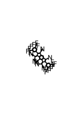 N#CC(C#N)=C1C(c2cc(C(F)(F)F)c(F)c(C(F)(F)F)c2)=C(C#N)c2cc3c(c(C#N)c21)C(=C(C#N)C#N)C(c1cc(C(F)(F)F)c(F)c(C(F)(F)F)c1)=C3C#N